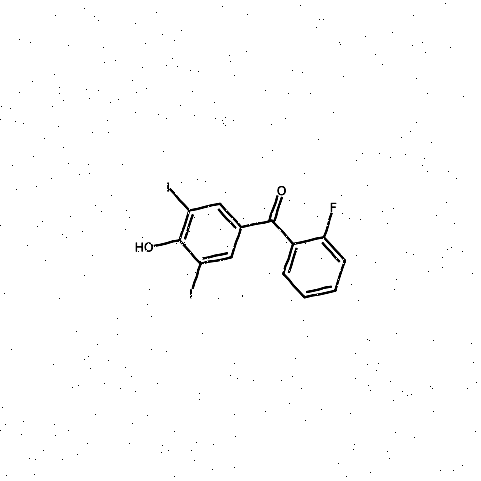 O=C(c1cc(I)c(O)c(I)c1)c1ccccc1F